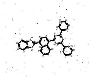 c1cnc(-c2nc(-c3cccnc3)nc(-c3ccc(-c4nc5ccccc5s4)c4ccccc34)n2)nc1